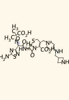 CC(C)(O/N=C(\C(=O)N[C@@H]1C(=O)N2C(C(=O)O)=C(C[n+]3ccc(NCC4CNC4)cc3)CS[C@H]12)c1nsc(N)n1)C(=O)O